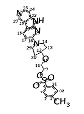 Cc1ccc(S(=O)(=O)OCCOC2CCN(c3ccc4c(n3)[nH]c3ccncc34)CC2)cc1